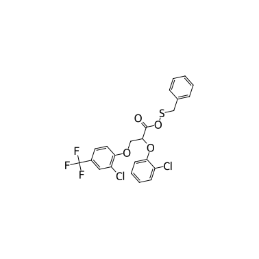 O=C(OSCc1ccccc1)C(COc1ccc(C(F)(F)F)cc1Cl)Oc1ccccc1Cl